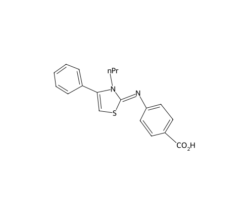 CCCn1c(-c2ccccc2)csc1=Nc1ccc(C(=O)O)cc1